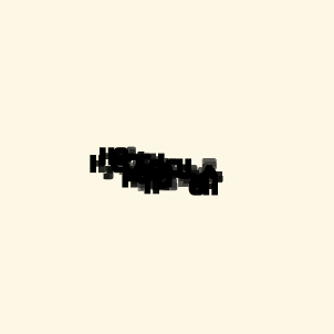 C[C@]1(O)CC[C@@]2(C)[C@@H](CC[C@@H]3[C@@H]2CC[C@]2(C)[C@@H](CCCC(O)C4CC4)CC[C@@H]32)C1